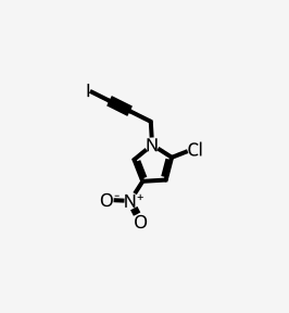 O=[N+]([O-])c1cc(Cl)n(CC#CI)c1